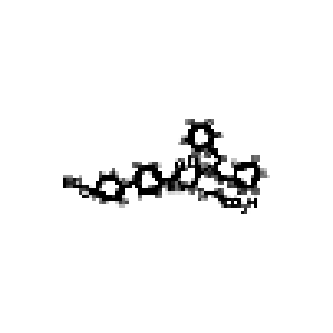 CCOc1ccc(-c2ccc(C(=O)N[C@@H](CCC(=O)O)C(=O)N(Cc3ccccc3)Cc3ccccc3)cc2)cc1